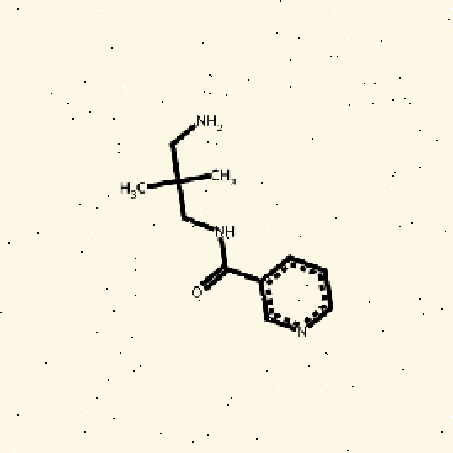 CC(C)(CN)CNC(=O)c1cccnc1